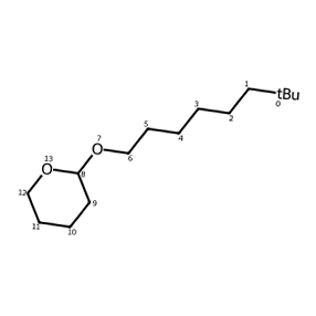 CC(C)(C)CCCCCCOC1CCCCO1